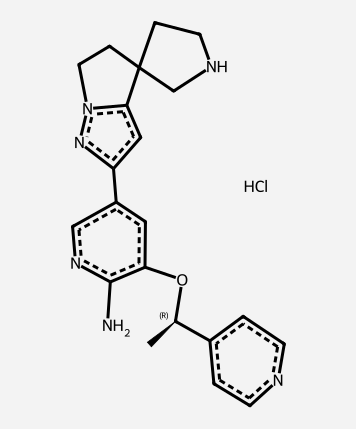 C[C@@H](Oc1cc(-c2cc3n(n2)CCC32CCNC2)cnc1N)c1ccncc1.Cl